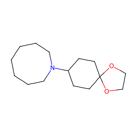 C1CCCN(C2CCC3(CC2)OCCO3)CCC1